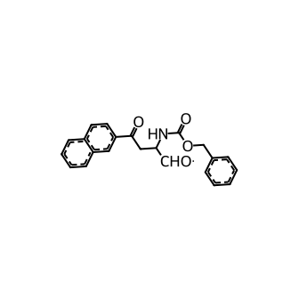 O=[C]C(CC(=O)c1ccc2ccccc2c1)NC(=O)OCc1ccccc1